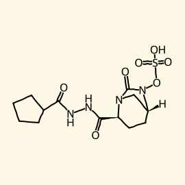 O=C(NNC(=O)[C@@H]1CC[C@@H]2CN1C(=O)N2OS(=O)(=O)O)C1CCCC1